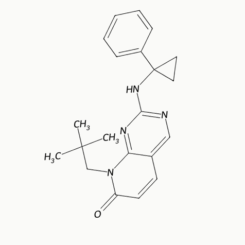 CC(C)(C)Cn1c(=O)ccc2cnc(NC3(c4ccccc4)CC3)nc21